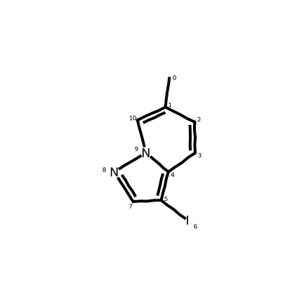 Cc1ccc2c(I)cnn2c1